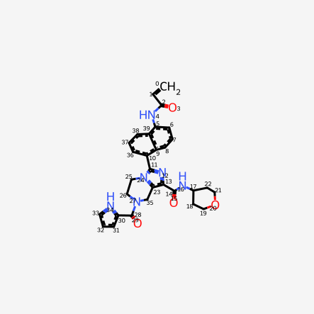 C=CC(=O)Nc1cccc2c(-c3nc(C(=O)NC4CCOCC4)c4n3CCN(C(=O)c3ccc[nH]3)C4)cccc12